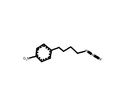 [N-]=[N+]=NCCCCc1ccc([N+](=O)[O-])cc1